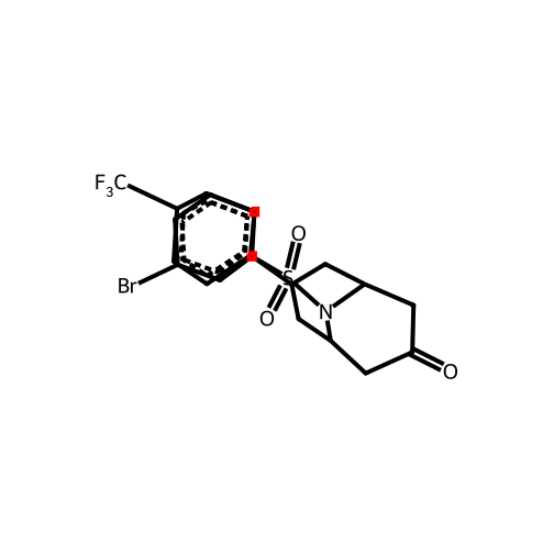 O=C1CC2CC(c3cccc(Br)c3)CC(C1)N2S(=O)(=O)c1ccc(C(F)(F)F)cc1